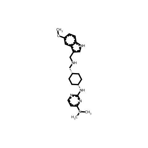 COc1ccc2[nH]cc(CNC[C@H]3CC[C@@H](Nc4nccc(N(C)C)n4)CC3)c2c1